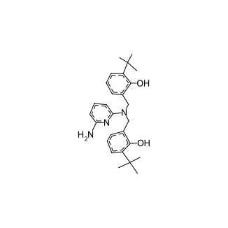 CC(C)(C)c1cccc(CN(Cc2cccc(C(C)(C)C)c2O)c2cccc(N)n2)c1O